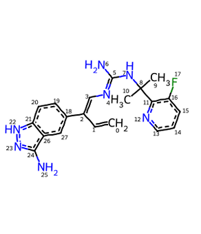 C=C/C(=C\N=C(/N)NC(C)(C)c1ncccc1F)c1ccc2[nH]nc(N)c2c1